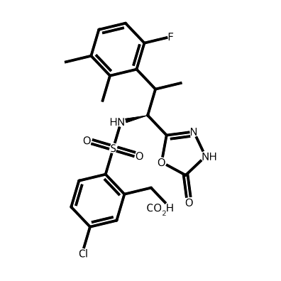 Cc1ccc(F)c(C(C)[C@H](NS(=O)(=O)c2ccc(Cl)cc2CC(=O)O)c2n[nH]c(=O)o2)c1C